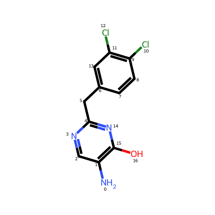 Nc1cnc(Cc2ccc(Cl)c(Cl)c2)nc1O